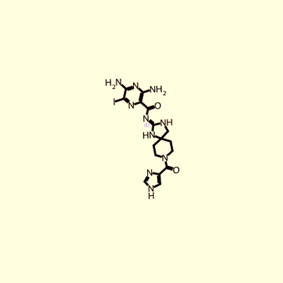 Nc1nc(N)c(C(=O)/N=C2\NCC3(CCN(C(=O)c4c[nH]cn4)CC3)N2)nc1I